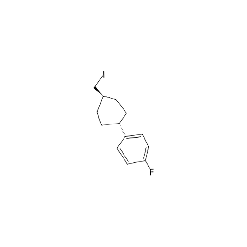 Fc1ccc([C@H]2CC[C@H](CI)CC2)cc1